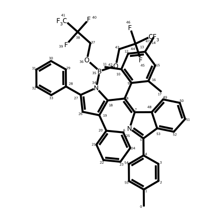 Cc1ccc(C2=N/C(=C(/c3c(C)cc(C)cc3C)c3c(-c4ccccc4)cc(-c4ccccc4)n3B(OCC(F)(F)C(F)(F)F)OCC(F)(F)C(F)(F)F)c3ccccc32)cc1